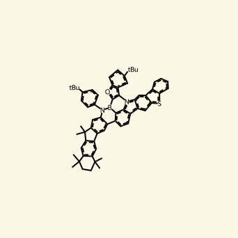 CC(C)(C)c1ccc(N2B3c4oc5ccc(C(C)(C)C)cc5c4-n4c5cc6c(cc5c5ccc(c3c54)-c3cc4c(cc32)C(C)(C)c2cc3c(cc2-4)C(C)(C)CCC3(C)C)sc2ccccc26)cc1